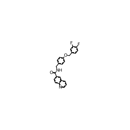 O=C(NCc1ccc(OCc2ccc(F)c(F)c2)cc1)c1ccc2ncccc2c1